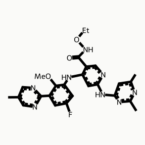 CCONC(=O)c1cnc(Nc2cc(C)nc(C)n2)cc1Nc1cc(F)cc(-c2ncc(C)cn2)c1OC